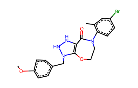 COc1ccc(CN2NNC3=C2OCCN(c2ccc(Br)cc2C)C3=O)cc1